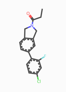 CCC(=O)N1Cc2ccc(-c3ccc(Cl)cc3F)cc2C1